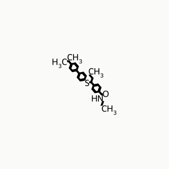 CCCNC(=O)c1ccc(C(CCC)Sc2ccc(-c3ccc(C(C)C)cc3)cc2)cc1